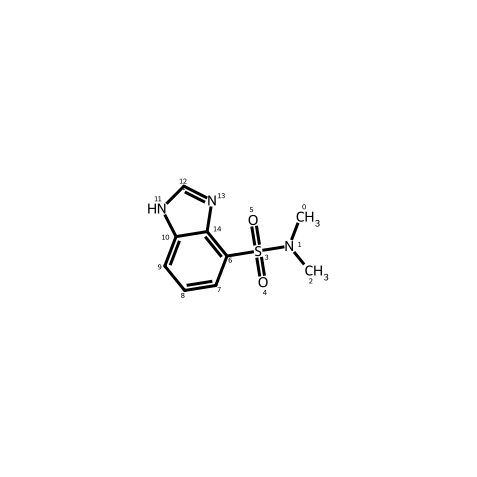 CN(C)S(=O)(=O)c1cccc2[nH][c]nc12